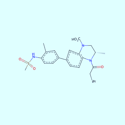 Cc1cc(-c2ccc3c(c2)N(C(=O)O)C[C@H](C)N3C(=O)CC(C)C)ccc1NS(C)(=O)=O